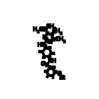 CCOc1cccc(C(=O)NC2CCC(Nc3nc(C)c(C)c(N(C)C)n3)CC2)c1